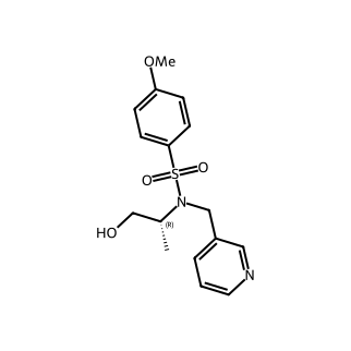 COc1ccc(S(=O)(=O)N(Cc2cccnc2)[C@H](C)CO)cc1